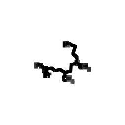 CC(C)CCCN(C)CCC(C)CCCN(C(C)C)C(C)C